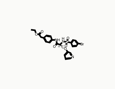 CCOC(=O)Cc1ccc(NC(=O)[C@H](COc2cccnc2)NS(=O)(=O)c2ccc(Br)cc2)cc1